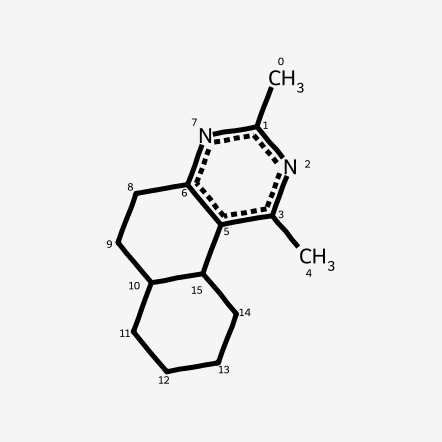 Cc1nc(C)c2c(n1)CCC1CCCCC21